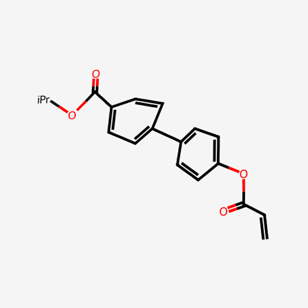 C=CC(=O)Oc1ccc(-c2ccc(C(=O)OC(C)C)cc2)cc1